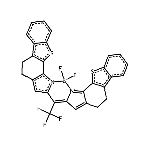 F[B-]1(F)n2c(cc3c2-c2sc4ccccc4c2CC3)C(C(F)(F)F)=C2C=C3CCc4c(sc5ccccc45)C3=[N+]21